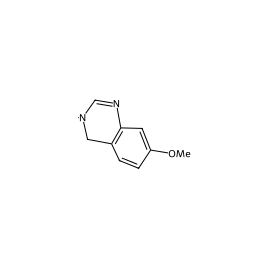 COc1ccc2c(c1)N=C[N]C2